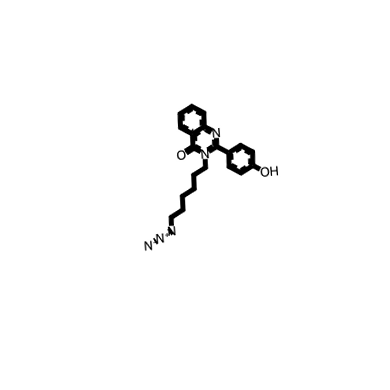 [N-]=[N+]=NCCCCCCn1c(-c2ccc(O)cc2)nc2ccccc2c1=O